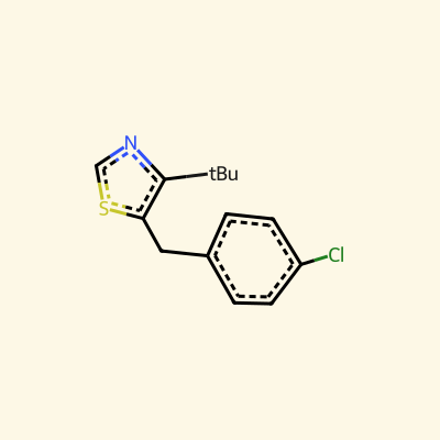 CC(C)(C)c1ncsc1Cc1ccc(Cl)cc1